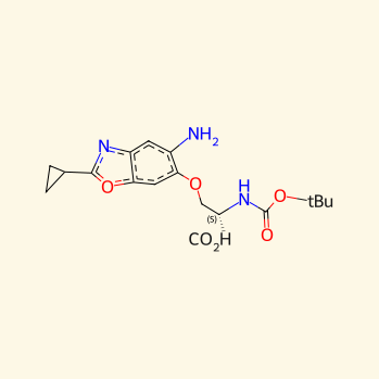 CC(C)(C)OC(=O)N[C@@H](COc1cc2oc(C3CC3)nc2cc1N)C(=O)O